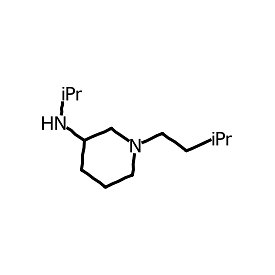 CC(C)CCN1CCCC(NC(C)C)C1